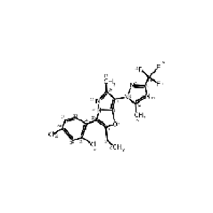 CCc1oc2c(-n3nc(C(F)(F)F)nc3C)c(C)nn2c1-c1ccc(Cl)cc1Cl